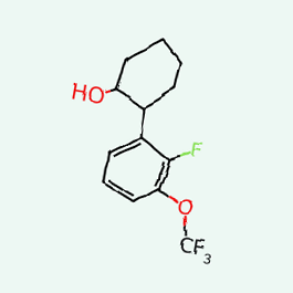 OC1CCCCC1c1cccc(OC(F)(F)F)c1F